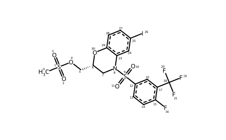 CS(=O)(=O)OC[C@H]1CN(S(=O)(=O)c2ccc(F)c(C(F)(F)F)c2)c2cc(I)ccc2O1